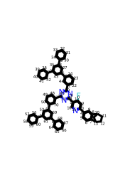 Fc1cc(-c2ccc3c(c2)C2CCC3C2)ncc1-c1nc(-c2cccc(-c3cc(-c4ccccc4)cc(-c4ccccc4)c3)c2)nc(-c2cccc(-c3cc(-c4ccccc4)cc(-c4ccccc4)c3)c2)n1